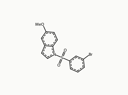 COc1ccc2c(ccn2S(=O)(=O)c2cccc(Br)c2)c1